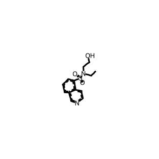 CCN(CCO)S(=O)(=O)c1cccc2cnccc12